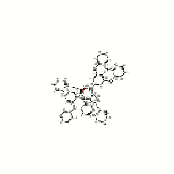 c1ccc(N2c3ccccc3[Si]3(c4ccccc42)c2cc(-c4ccccn4)ccc2N(c2cc4c5c(c2)Oc2ccccc2B5c2ccccc2O4)c2ccc(-c4ccccn4)cc23)cc1